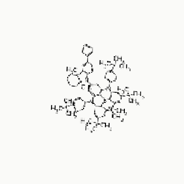 CC(C)(C)c1ccc(N2c3cc(N4c5ccc(-c6ccccc6)cc5C5(C)CCCCC45C)cc4c3B3c5c2cc(C(C)(C)C)cc5[Si](C)(C)c2cc(C(C)(C)C)cc(c23)N4c2ccc(C(C)(C)C)cc2)cc1